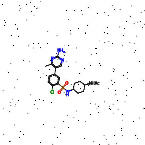 CC(=O)N[C@H]1CC[C@@H](NS(=O)(=O)c2cc(-c3cnc(N)nc3C)ccc2Cl)CC1